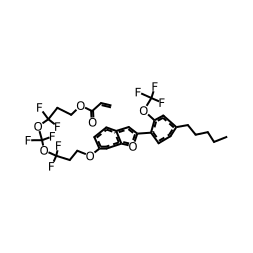 C=CC(=O)OCCC(F)(F)OC(F)(F)OC(F)(F)CCOc1ccc2cc(-c3ccc(CCCCC)cc3OC(F)(F)F)oc2c1